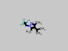 Cc1nn(CC(F)(F)F)c(C)c1C(C)C